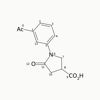 CC(=O)c1cccc(N2CC(C(=O)O)CC2=O)c1